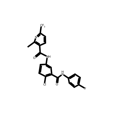 Cc1nc(C(F)(F)F)ccc1C(=O)Nc1ccc(Cl)c(C(=O)Nc2ccc(F)cc2)c1